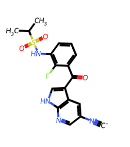 [C-]#[N+]c1cnc2[nH]cc(C(=O)c3cccc(NS(=O)(=O)C(C)C)c3F)c2c1